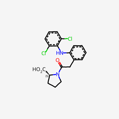 O=C(O)[C@@H]1CCCN1C(=O)Cc1ccccc1Nc1c(Cl)cccc1Cl